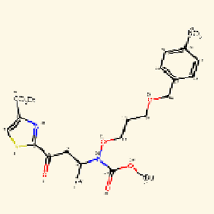 CCOC(=O)c1csc(C(=O)CC(C(C)C)N(OCCCOCc2ccc([N+](=O)[O-])cc2)C(=O)OC(C)(C)C)n1